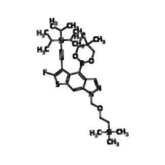 CC(C)[Si](C#Cc1c(F)sc2cc3c(cnn3COCC[Si](C)(C)C)c(B3OCC(C)(C)CO3)c12)(C(C)C)C(C)C